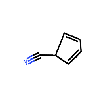 N#CC1C=CC=C1